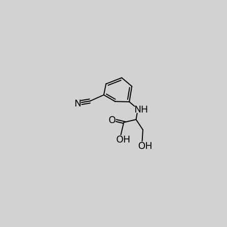 N#Cc1cccc(NC(CO)C(=O)O)c1